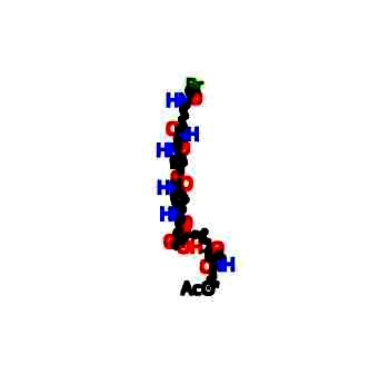 CC(=O)O[C@@H](C)C=CC(=O)N[C@@H]1C[C@H](C)[C@H](CC=C(C)C=C[C@H]2O[C@H](CC(=O)NCc3ccc(NC(=O)OCc4ccc(NC(=O)CNC(=O)CCCCCNC(=O)CBr)cc4)cc3)C[C@@]3(CO3)[C@@H]2O)O[C@@H]1C